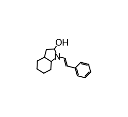 OC1CC2CCCCC2N1C=Cc1ccccc1